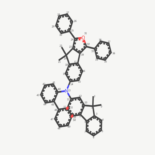 CC1(C)c2ccccc2-c2ccc(N(c3ccc4c(c3)C(C)(C)c3c(-c5ccccc5)oc(-c5ccccc5)c3-4)c3ccccc3-c3ccccc3)cc21